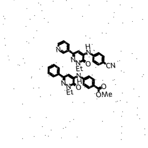 CCn1nc(-c2ccccc2)cc(Nc2ccc(C(=O)OC)cc2)c1=O.CCn1nc(-c2cccnc2)cc(Nc2ccc(C#N)cc2)c1=O